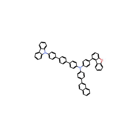 c1ccc2cc(-c3ccc(N(c4ccc(-c5ccc(-c6ccc(-n7c8ccccc8c8ccccc87)cc6)cc5)cc4)c4ccc(-c5cccc6oc7ccccc7c56)cc4)cc3)ccc2c1